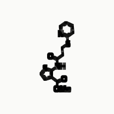 COC(=O)c1ccsc1NC(=O)CCSc1ccccn1